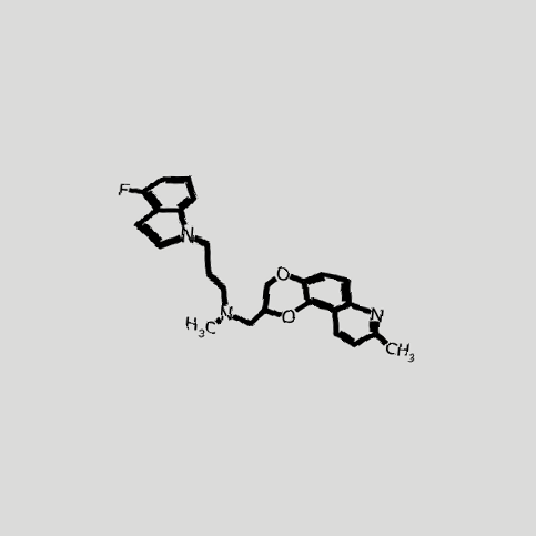 Cc1ccc2c3c(ccc2n1)OCC(CN(C)CCCn1ccc2c(F)cccc21)O3